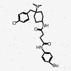 CCC(C)c1ccc(NC(=O)CCC(=O)NC2CCC(Cc3ccc(Cl)cc3)(N(C)C)CC2)cc1